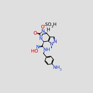 Cn1ncc2c1[C@@H](/C(=N/O)NCc1ccc(N)cc1)N1C[C@H]2N(OS(=O)(=O)O)C1=O